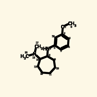 COc1cccc(NC2CCCCCC2N(C)C)c1